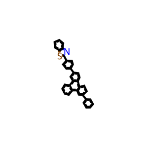 c1ccc(-c2ccc3c4ccc(-c5ccc(-c6nc7ccccc7s6)cc5)cc4c4ccccc4c3c2)cc1